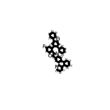 Fc1cc2oc3c4ccc(-c5ccccc5-c5cccnc5)cc4n4c5ccccc5c5cc6oc7ccccc7c6cc5c(c1)c2c34